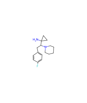 NC1(C(Cc2ccc(F)cc2)N2CCCCC2)CC1